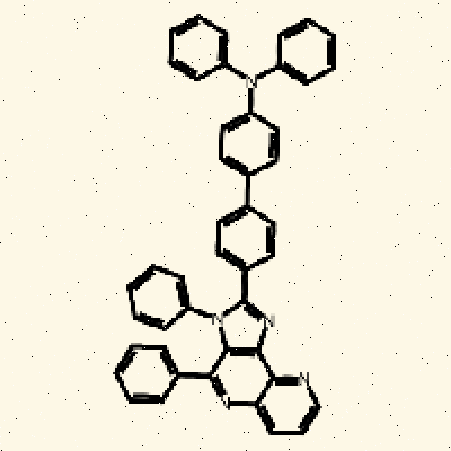 c1ccc(-c2nc3cccnc3c3nc(-c4ccc(-c5ccc(N(c6ccccc6)c6ccccc6)cc5)cc4)n(-c4ccccc4)c23)cc1